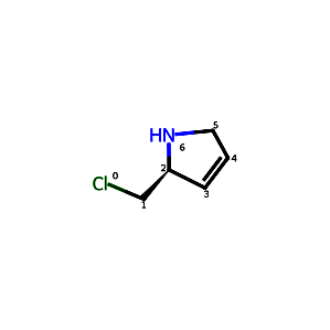 ClC[C@@H]1C=CCN1